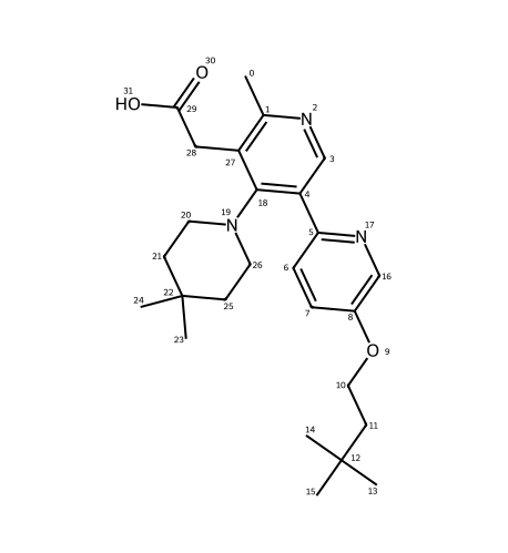 Cc1ncc(-c2ccc(OCCC(C)(C)C)cn2)c(N2CCC(C)(C)CC2)c1CC(=O)O